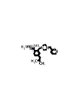 CC(C)Cc1ccc(/C(N)=N/NN)c(CN2CCN(Cc3cccnn3)CC2)c1